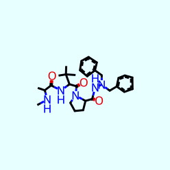 CNC(C)C(=O)NC(C(=O)N1CCCC1C(=O)NN(Cc1ccccc1)Cc1ccccc1)C(C)(C)C